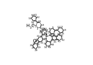 CC1CC(c2nc(-c3ccc(-c4ccccc4)cc3)nc(-c3cc4oc5ccccc5c4cc3C3CCc4cc5ccccc5cc4-c4ccccc43)n2)=CC=C1c1ccccc1